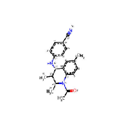 CC(=O)N1c2ccc(C)cc2[C@H](Nc2ccc(C#N)cc2)C(C)[C@@H]1C